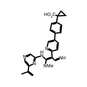 C=C(C)c1cncc(N/C(NC)=C(/C=N)c2ccc(-c3ccc(C4(C(=O)O)CC4)cc3)cn2)n1